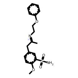 COc1ccc(C/C(C)=N/CCOc2ccccc2)cc1S(N)(=O)=O